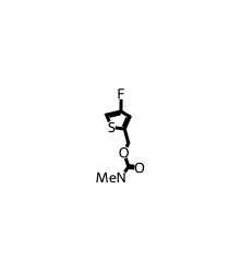 CNC(=O)OCc1cc(F)cs1